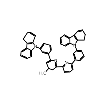 CC1C=C(c2cccc(-n3c4c(c5ccccc53)CCC=C4)c2)N=C(c2cccc(-c3cccc(-n4c5c(c6ccccc64)C=CCC5)c3)n2)C1